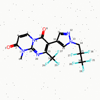 Cn1c(=O)ccn2c(=O)c(-c3cnn(CC(F)(F)C(F)(F)F)c3)c(C(F)(F)F)nc12